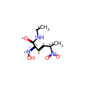 CCNC(=O)/C(C=CC(C)[N+](=O)[O-])=N/O